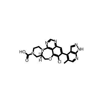 Cc1cnc2[nH]ncc2c1-c1cc2ncnc3c2c(c1Cl)OC[C@@H]1CN(C(=O)O)CCN31